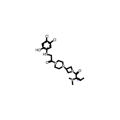 C/C=C(\C(=O)N1CC(N2CCN(C(=O)CNc3cc(Cl)c(Cl)cc3O)CC2)C1)N(C)C